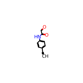 C#Cc1ccc(NC(=O)C=O)cc1